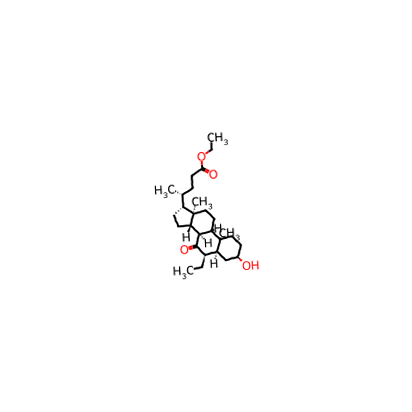 CCOC(=O)CC[C@@H](C)[C@H]1CC[C@H]2[C@@H]3C(=O)[C@H](CC)[C@@H]4C[C@H](O)CC[C@]4(C)[C@H]3CC[C@]12C